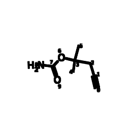 C#CCC(C)(C)OC(N)=O